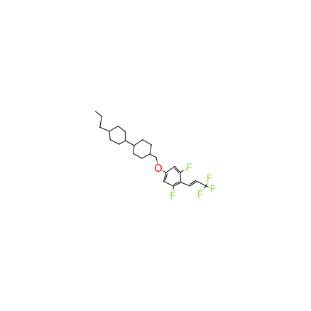 CCCC1CCC(C2CCC(COc3cc(F)c(/C=C/C(F)(F)F)c(F)c3)CC2)CC1